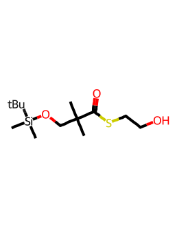 CC(C)(CO[Si](C)(C)C(C)(C)C)C(=O)SCCO